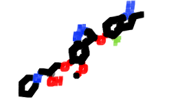 COc1cc2c(Oc3ccc4[nH]c(C)cc4c3F)cnnc2cc1OC[C@H](O)CN1CCCCC1